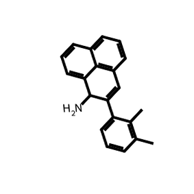 Cc1cccc(C2=Cc3cccc4cccc(c34)C2N)c1C